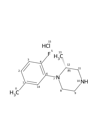 Cc1ccc(F)c(N2CCNC[C@H]2C)c1.Cl